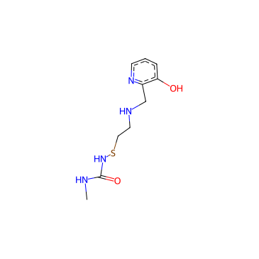 CNC(=O)NSCCNCc1ncccc1O